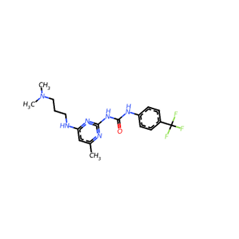 Cc1cc(NCCCN(C)C)nc(NC(=O)Nc2ccc(C(F)(F)F)cc2)n1